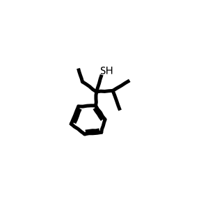 CCC(S)([C](C)C)c1ccccc1